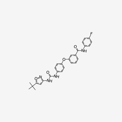 CC(C)(C)c1cc(NC(=O)Nc2ccc(Oc3cccc(C(=O)Nc4ccc(F)cc4)c3)cc2)no1